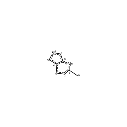 Cc1ccc2cscc2n1